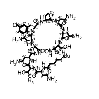 CC[C@H](C)CCCCC(=O)N[C@@H](CCN)C(=O)N[C@H](C(=O)N[C@@H](CCN)C(=O)N[C@H]1CCNC(=O)[C@H]([C@@H](C)O)NC(=O)[C@H](CCN)NC(=O)[C@H](CCN)NC(=O)[C@H](CC(C)C)NC(=O)[C@@H](Cc2cccc(Cl)c2)NC(=O)[C@H](CCN)NC1=O)[C@@H](C)O